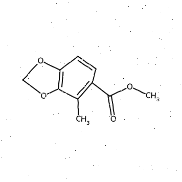 COC(=O)c1ccc2c(c1C)OCO2